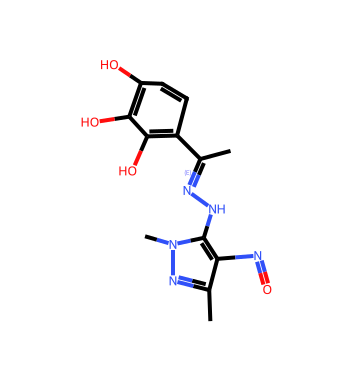 C/C(=N\Nc1c(N=O)c(C)nn1C)c1ccc(O)c(O)c1O